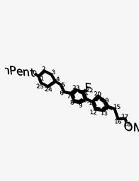 CCCCCC1CCC(CCc2ccc(-c3ccc(CCCOC)cc3)c(F)c2)CC1